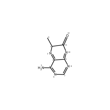 CC1N=c2c(N)ncnc2=NC1=O